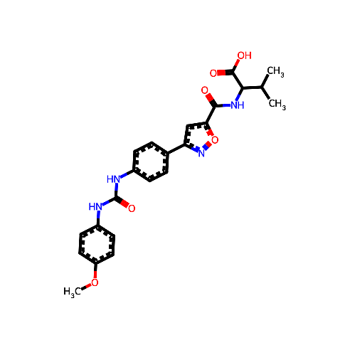 COc1ccc(NC(=O)Nc2ccc(-c3cc(C(=O)NC(C(=O)O)C(C)C)on3)cc2)cc1